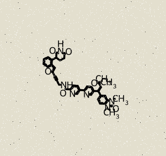 Cn1c(=O)n(C)c2cc(C3=CC(C)(C)Oc4cc(-c5ccc(C(=O)NCC#Cc6cc7c(C8CCC(=O)NC8=O)cccc7o6)nc5)ncc43)ccc21